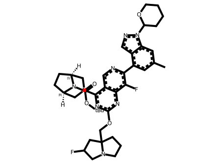 Cc1cc(-c2ncc3c(N4C[C@H]5CC[C@@H](C4)N5C(=O)OC(C)(C)C)nc(OCC45CCCN4CC(F)C5)nc3c2F)c2cnn(C3CCCCO3)c2c1